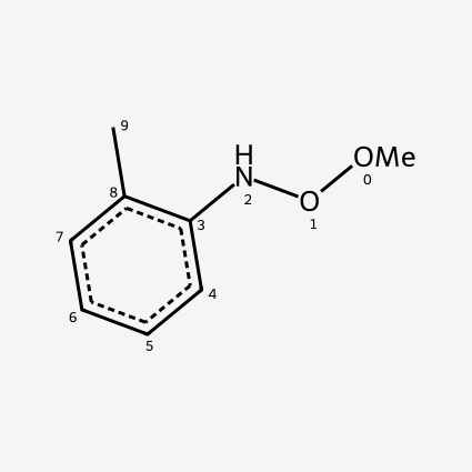 COONc1ccccc1C